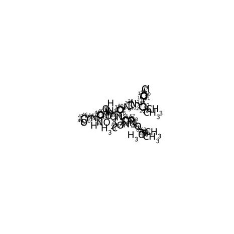 C[C@H]1CCN(c2cc(N3CCN(CC4=C(c5ccc(Cl)cc5)CC(C)(C)CC4)CC3)ccc2C(=O)NS(=O)(=O)c2ccc(NCC3CCCOC3)c([N+](=O)[O-])c2)c2cc3ccn(COCC[Si](C)(C)C)c3nc2O1